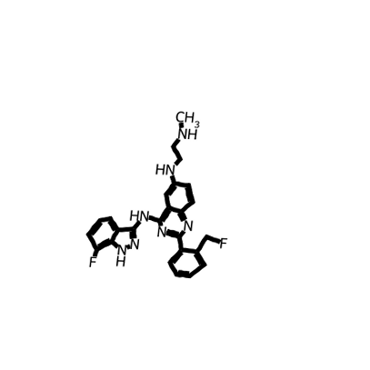 CNCCNc1ccc2nc(-c3ccccc3CF)nc(Nc3n[nH]c4c(F)cccc34)c2c1